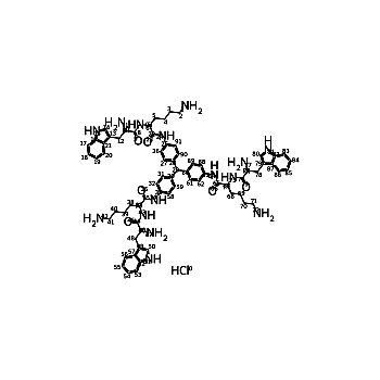 Cl.NCCCC[C@H](NC(=O)[C@@H](N)Cc1c[nH]c2ccccc12)C(=O)Nc1ccc(C(c2ccc(NC(=O)[C@H](CCCCN)NC(=O)[C@@H](N)Cc3c[nH]c4ccccc34)cc2)c2ccc(NC(=O)[C@H](CCCCN)NC(=O)[C@@H](N)Cc3c[nH]c4ccccc34)cc2)cc1